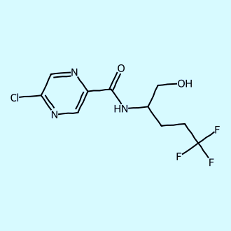 O=C(NC(CO)CCC(F)(F)F)c1cnc(Cl)cn1